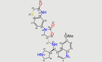 COc1ccc2nccc(C(NC[C@@H]3CN(c4ccc5c(c4)NC(=O)CS5)C(=O)O3)[C@H]3CCNC3)c2c1